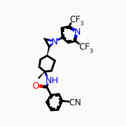 C[C@]1(NC(=O)c2cccc(C#N)c2)CC[C@H](C2CN2c2cc(C(F)(F)F)nc(C(F)(F)F)c2)CC1